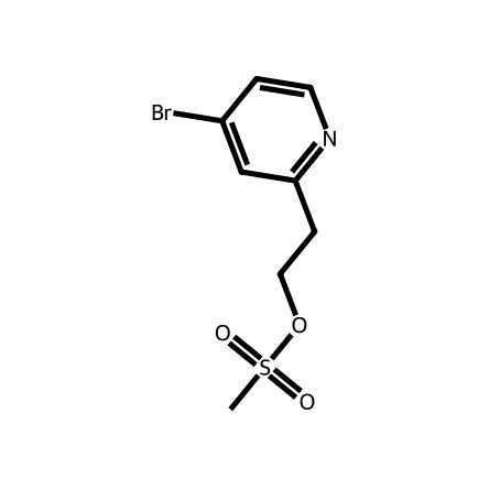 CS(=O)(=O)OCCc1cc(Br)ccn1